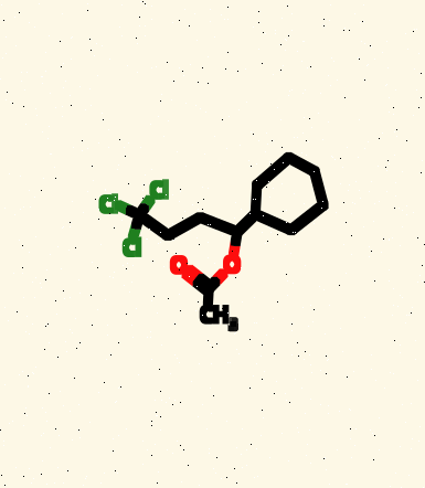 CC(=O)OC(CCC(Cl)(Cl)Cl)C1CCCCC1